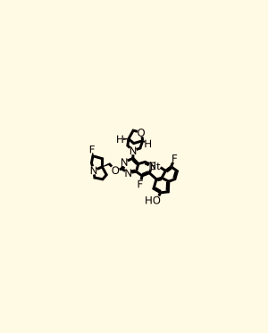 CCc1c(F)ccc2cc(O)cc(-c3ncc4c(N5C[C@@H]6CO[C@@H](C6)C5)nc(OC[C@@]56CCCN5C[C@H](F)C6)nc4c3F)c12